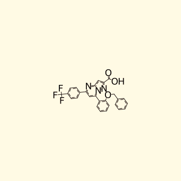 O=C(O)c1cc2nc(-c3ccc(C(F)(F)F)cc3)cc(-c3ccccc3OCc3ccccc3)n2n1